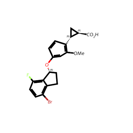 COc1cc(O[C@@H]2CCc3c(Br)ccc(F)c32)ccc1[C@@H]1C[C@H]1C(=O)O